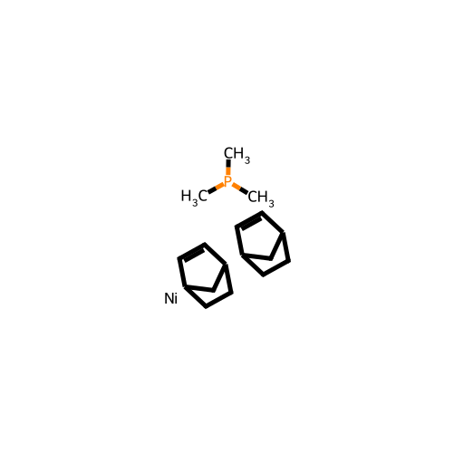 C1=CC2CCC1C2.C1=CC2CCC1C2.CP(C)C.[Ni]